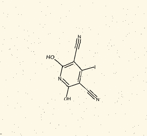 N#Cc1c(O)nc(O)c(C#N)c1I